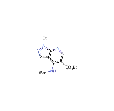 CCOC(=O)c1cnc2c(cnn2CC)c1NC(C)(C)C